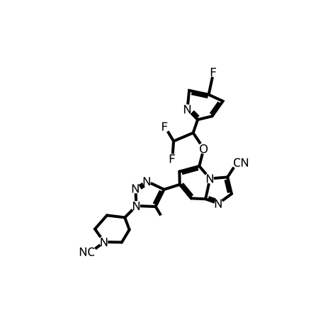 Cc1c(-c2cc(OC(c3ccc(F)cn3)C(F)F)n3c(C#N)cnc3c2)nnn1C1CCN(C#N)CC1